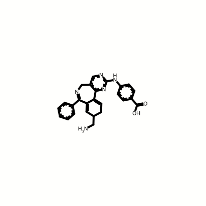 NCC1C=C2C(=CC1)c1nc(Nc3ccc(C(=O)O)cc3)ncc1CN=C2c1ccccc1